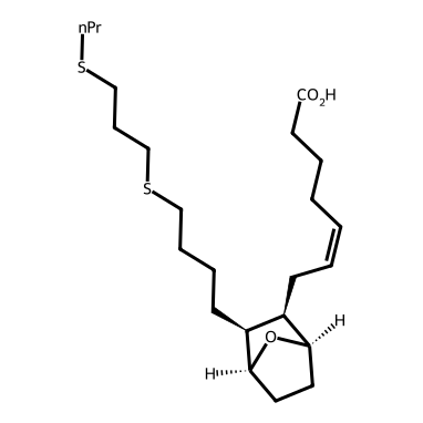 CCCSCCCSCCCC[C@H]1[C@@H](C/C=C\CCCC(=O)O)[C@H]2CC[C@@H]1O2